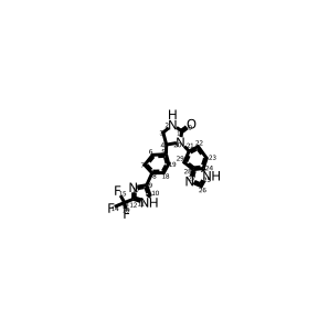 O=C1NCC(c2ccc(-c3c[nH]c(C(F)(F)F)n3)cc2)N1c1ccc2[nH]cnc2c1